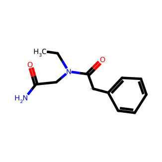 CCN(CC(N)=O)C(=O)[CH]c1ccccc1